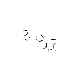 Cc1cc(Oc2nccc3occc23)ccc1-c1c(C)nc(N)c2nccn12